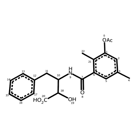 CC(=O)Oc1cc(C)cc(C(=O)NC(Cc2ccccc2)C(O)C(=O)O)c1C